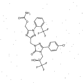 NC(=O)OCc1nc(Cn2nc(-c3ccc(Cl)cc3)n(C[C@H](O)C(F)(F)F)c2=O)nn1-c1ccccc1C(F)(F)F